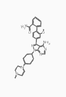 COc1cc(-c2nn(C3CCC(N4CCN(C)CC4)CC3)c3ncnc(N)c23)ccc1-c1ccccc1C(N)=O